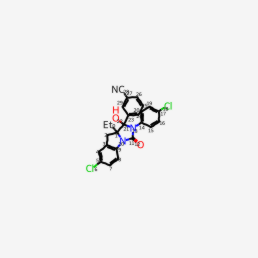 CCC12Cc3cc(Cl)ccc3N1C(=O)N(c1ccc(Cl)cc1)C2(O)c1cccc(C#N)c1